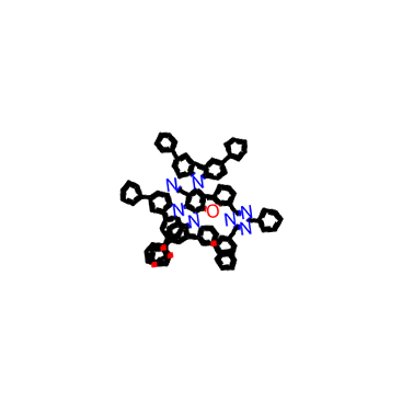 N#Cc1c(-n2c3ccc(-c4ccccc4)cc3c3cc(-c4ccccc4)ccc32)c(-n2c3ccc(-c4ccccc4)cc3c3cc(-c4ccccc4)ccc32)c2oc3c(-c4nc(-c5ccccc5)nc(-c5ccccc5)n4)cccc3c2c1-n1c2ccc(-c3ccccc3)cc2c2cc(-c3ccccc3)ccc21